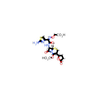 Nc1nc(/C(=N/OCC(=O)O)C(=O)N[C@@H]2C(=O)N3C(OC(=O)O)=C(C4CCC(=O)O4)CS[C@H]23)cs1